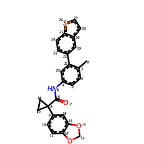 Cc1ccc(NC(=O)C2(c3ccc4c(c3)OCO4)CC2)cc1-c1ccc2sccc2c1